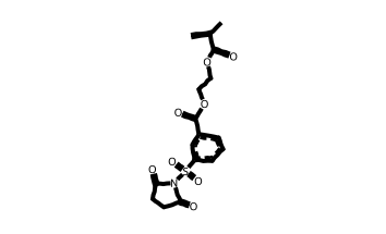 C=C(C)C(=O)OCCOC(=O)c1cccc(S(=O)(=O)N2C(=O)CCC2=O)c1